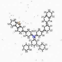 c1ccc(-c2cc(-c3ccccc3)cc(N(c3ccc(-c4cccc(-c5ccc6ccccc6c5)c4)cc3)c3ccc(-c4ccc5c(c4)sc4ccccc45)cc3)c2)cc1